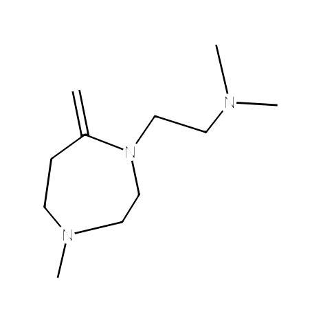 C=C1CCN(C)CCN1CCN(C)C